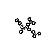 c1ccc(-c2ccc(-c3nc(-c4ccccc4)nc(-n4c5ccc(-c6ccc7c(c6)c6ccccc6n7-c6ccccc6)cc5c5cc(-n6c7ccccc7c7ccccc76)ccc54)n3)cc2)cc1